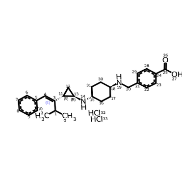 CC(C)/C(=C\c1ccccc1)[C@@H]1C[C@H]1N[C@H]1CC[C@H](NCc2ccc(C(=O)O)cc2)CC1.Cl.Cl